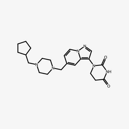 O=C1CCN(c2cnn3ccc(CN4CCN(CC5CCCC5)CC4)cc23)C(=O)N1